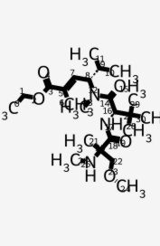 CCOC(=O)/C(C)=C/[C@H](C(C)C)N(C)C(=O)[C@@H](NC(=O)C(C)(COC)NC)C(C)(C)C